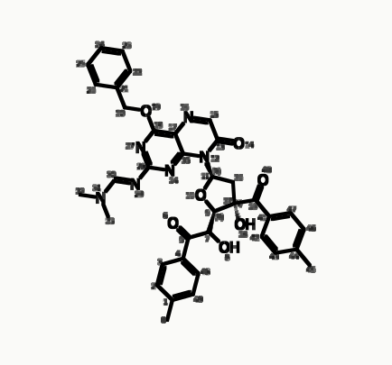 Cc1ccc(C(=O)C(O)[C@H]2O[C@@H](n3c(=O)cnc4c(OCc5ccccc5)nc(N=CN(C)C)nc43)C[C@@]2(O)C(=O)c2ccc(C)cc2)cc1